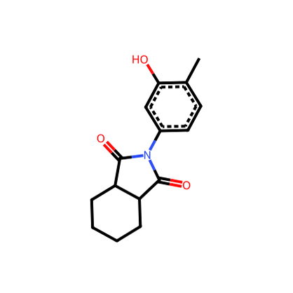 Cc1ccc(N2C(=O)C3CCCCC3C2=O)cc1O